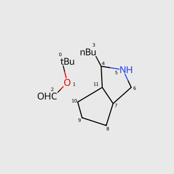 CC(C)(C)OC=O.CCCCC1NCC2CCCC21